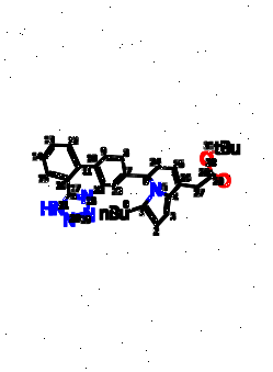 CCCCc1ccc2n1C(c1ccc(-c3ccccc3-c3nnn[nH]3)cc1)CC=C2CC(=O)OC(C)(C)C